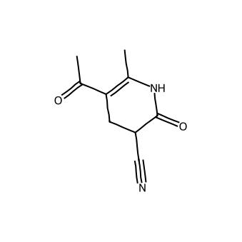 CC(=O)C1=C(C)NC(=O)C(C#N)C1